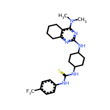 CN(C)c1nc(NC2CCC(NC(=S)Nc3ccc(C(F)(F)F)cc3)CC2)nc2c1CCCC2